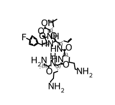 C=CC[C@H](NC(=O)[C@H](CCCCN)NC(=O)[C@H](CCCCN)NC(=O)[C@H](C)N)C(=O)N[C@@H](Cc1ccc(F)cc1)C(=O)N[C@@H](CC(C)C)C(=O)O